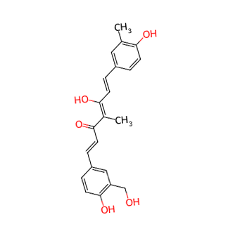 C/C(C(=O)/C=C/c1ccc(O)c(CO)c1)=C(O)\C=C\c1ccc(O)c(C)c1